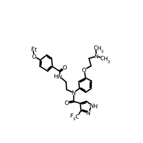 CCOc1ccc(C(=O)NCCN(C(=O)c2c[nH]nc2C(F)(F)F)c2cccc(OCCN(C)C)c2)cc1